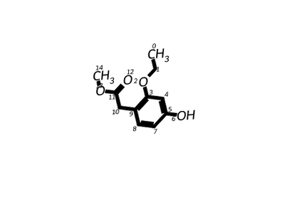 CCOc1cc(O)ccc1CC(=O)OC